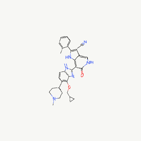 Cc1ccccc1-c1[nH]c2c(-c3nc4c(OCC5CC5)c(C5CCN(C)CC5)ccc4[nH]3)c(=O)[nH]cc2c1C#N